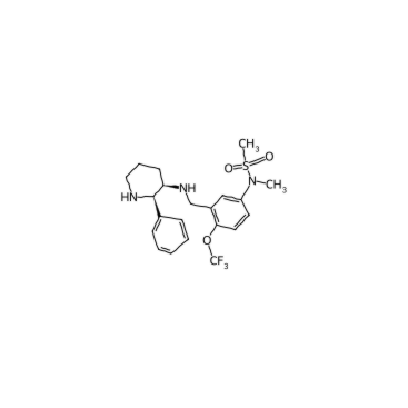 CN(c1ccc(OC(F)(F)F)c(CN[C@@H]2CCCN[C@@H]2c2ccccc2)c1)S(C)(=O)=O